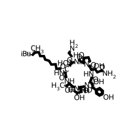 CC[C@H](C)C[C@H](C)CCCCCCCCC(=O)N[C@H]1C[C@@H](O)[C@@H](OCCN)NC(=O)[C@@H]2[C@@H](O)CCN2C(=O)[C@H]([C@H](O)CC(N)=O)NC(=O)[C@H]([C@H](O)[C@@H](O)c2ccc(O)cc2)NC(=O)[C@@H]2C[C@@H](O)CN2C(=O)[C@H]([C@@H](C)O)NC1=O